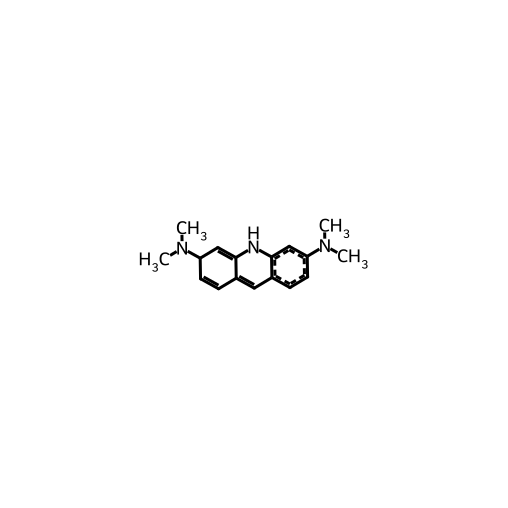 CN(C)c1ccc2c(c1)NC1=CC(N(C)C)C=CC1=C2